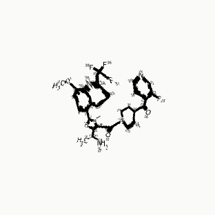 COc1ccc(-c2nc(C(=O)N3CCC(C(=O)c4ccncc4F)CC3)c([C@@H](C)N)o2)c2ccc(C(F)(F)F)nc12